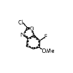 COc1ccc2nc(Cl)oc2c1F